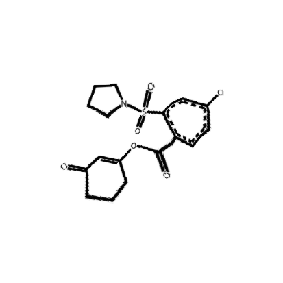 O=C1C=C(OC(=O)c2ccc(Cl)cc2S(=O)(=O)N2CCCC2)CCC1